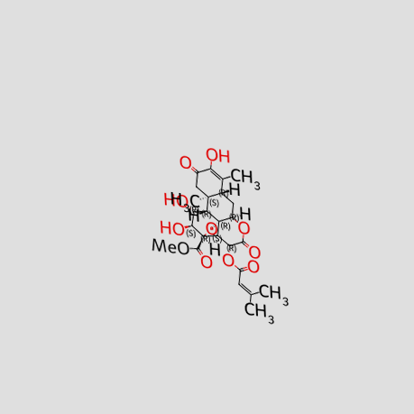 COC(=O)[C@]12OC[C@]34[C@H]([C@@H](O)[C@@H]1O)[C@@]1(C)CC(=O)C(O)=C(C)[C@@H]1C[C@H]3OC(=O)[C@H](OC(=O)C=C(C)C)[C@@H]24